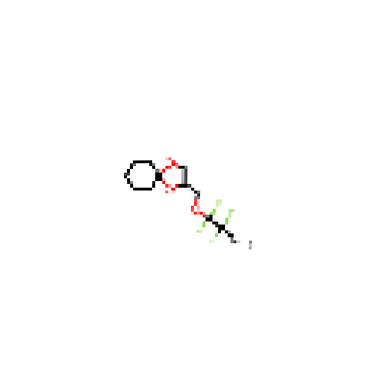 CC(F)(F)C(F)(F)OCC1COC2(CCCCC2)O1